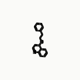 c1ccc(CCOc2ccnc3ccccc23)cc1